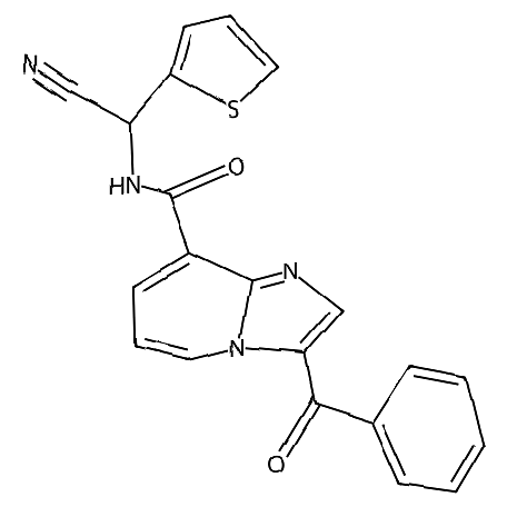 N#CC(NC(=O)c1cccn2c(C(=O)c3ccccc3)cnc12)c1cccs1